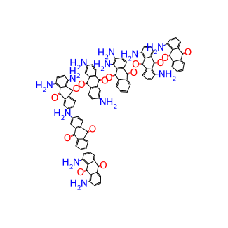 Nc1ccc(N)c2c1C(=O)c1ccccc1C2=O.Nc1ccc2c(c1)C(=O)c1ccc(N)cc1C2=O.Nc1ccc2c(c1)C(=O)c1ccccc1C2=O.Nc1ccc2c(c1N)C(=O)c1ccccc1C2=O.Nc1cccc2c1C(=O)c1c(N)cccc1C2=O.Nc1cccc2c1C(=O)c1cccc(N)c1C2=O.Nc1cccc2c1C(=O)c1ccccc1C2=O